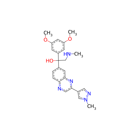 CNCC(O)(c1cc(OC)cc(OC)c1)c1ccc2ncc(-c3cnn(C)c3)nc2c1